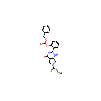 CC(C)(C)OC(=O)N1Cc2[nH]c(-c3ccccc3OC(=O)OCc3ccccc3)nc(=O)c2C1